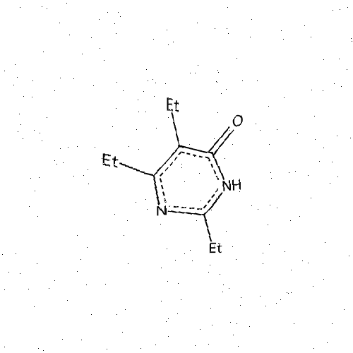 CCc1nc(CC)c(CC)c(=O)[nH]1